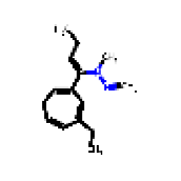 C=NN(C)/C(=C\CC)C1=CCC=CC(CC)=C1